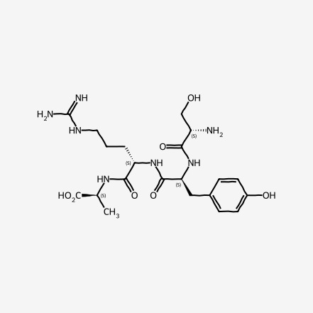 C[C@H](NC(=O)[C@H](CCCNC(=N)N)NC(=O)[C@H](Cc1ccc(O)cc1)NC(=O)[C@@H](N)CO)C(=O)O